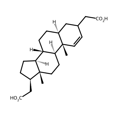 C[C@]12C=CC(CC(=O)O)C[C@@H]1CC[C@@H]1[C@@H]2CC[C@]2(C)[C@@H](CC(=O)O)CC[C@@H]12